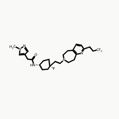 Cn1cc(CC(=O)N[C@H]2CC[C@](F)(CCN3CCc4ccc(CCC(F)(F)F)nc4CC3)CC2)cn1